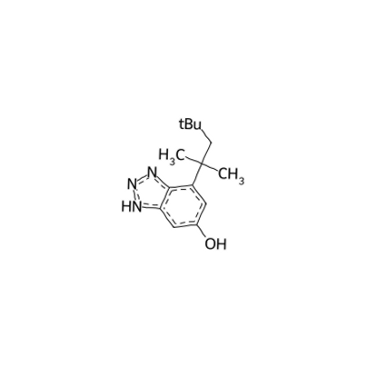 CC(C)(C)CC(C)(C)c1cc(O)cc2[nH]nnc12